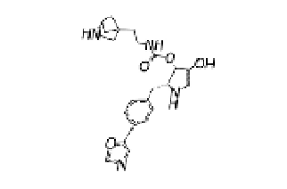 O=C(NCCC12CNC(C1)C2)O[C@@H]1[C@@H](O)CN[C@@H]1Cc1ccc(-c2cnco2)cc1